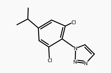 CC(C)c1cc(Cl)c(-n2ccnn2)c(Cl)c1